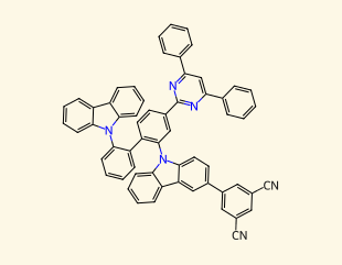 N#Cc1cc(C#N)cc(-c2ccc3c(c2)c2ccccc2n3-c2cc(-c3nc(-c4ccccc4)cc(-c4ccccc4)n3)ccc2-c2ccccc2-n2c3ccccc3c3ccccc32)c1